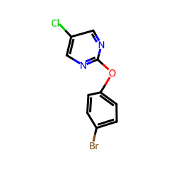 Clc1cnc(Oc2ccc(Br)cc2)nc1